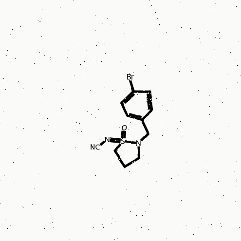 N#CN=S1(=O)CCCN1Cc1ccc(Br)cc1